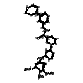 COc1cc(Nc2nccc(N3CCC[C@H](C(=O)NCc4cccc(N5CCOCC5)c4)C3)n2)cc(OC)c1OC